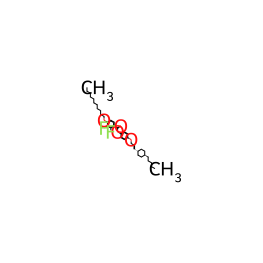 CCCCCCCCCCCOc1ccc(C(=O)Oc2ccc(OCC=C[C@H]3CC[C@H](CCCCC)CC3)cc2)c(F)c1F